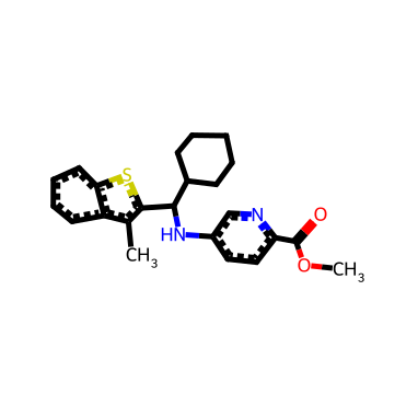 COC(=O)c1ccc(NC(c2sc3ccccc3c2C)C2CCCCC2)cn1